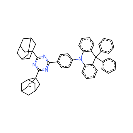 c1ccc(C2(c3ccccc3)c3ccccc3N(c3ccc(-c4nc(C56CC7CC(CC(C7)C5)C6)nc(C56CC7CC(CC5C7)C6)n4)cc3)c3ccccc32)cc1